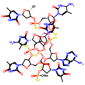 CC[C@H]1O[C@@H](n2cc(C)c(=O)[nH]c2=O)CC1OP(=O)(S)OC[C@H]1O[C@@H](N2C=C(C)C(N)NC2=O)CC1OP(=O)(S)OC[C@H]1O[C@@H](n2cc(C)c(N)nc2=O)CC1OP(=O)(S)OC[C@H]1O[C@@H](n2cnc3c(N)ncnc32)CC1OP(=O)(S)OC[C@H]1O[C@@H](n2cc(C)c(=O)[nH]c2=O)CC1OP(=O)(S)OC[C@H]1O[C@@H](n2cc(C)c(=O)[nH]c2=O)CC1OP(=O)(S)OC[C@H]1O[C@@H](n2cc(C)c(=O)[nH]c2=O)CC1OP(=O)(S)OC